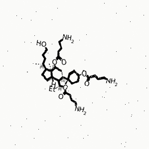 CC[C@@H](OC(=O)CCCN)C1[C@@H]2CCC([C@H](C)CCCO)[C@@]2(C)[C@@H](OC(=O)CCCN)C[C@@H]1[C@]1(C)CC[C@H](OC(=O)CCCN)CC1